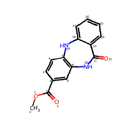 COC(=O)c1ccc2c(c1)NC(=O)c1ccccc1N2